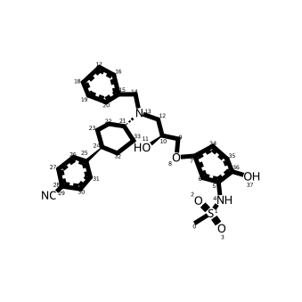 CS(=O)(=O)Nc1cc(OC[C@@H](O)CN(Cc2ccccc2)[C@H]2CC[C@H](c3ccc(C#N)cc3)CC2)ccc1O